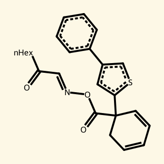 CCCCCCC(=O)C=NOC(=O)C1(c2cc(-c3ccccc3)cs2)C=CC=CC1